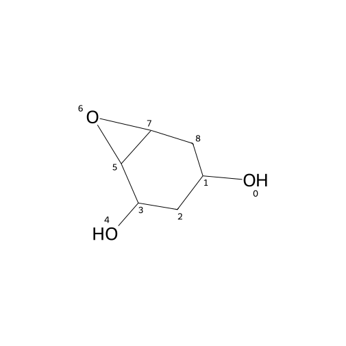 OC1CC(O)C2OC2C1